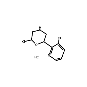 Cl.Oc1cccnc1C1CNCC(Cl)O1